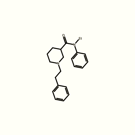 CCN(C(=O)C1CCCN(CCc2ccccc2)C1)c1ccccc1